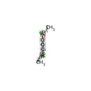 CCCCCC[C@H](OCc1ccc(-c2ccc(-c3ccc(CO[C@@H](CCCCCC)C(F)(F)F)cc3)cc2)cc1)C(F)(F)F